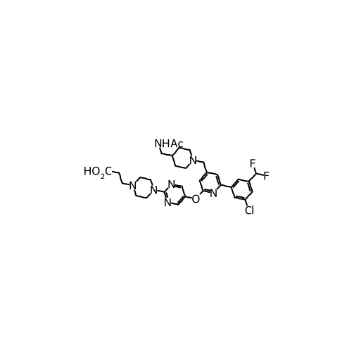 CC(=O)NCC1CCN(Cc2cc(Oc3cnc(N4CCN(CCC(=O)O)CC4)nc3)nc(-c3cc(Cl)cc(C(F)F)c3)c2)CC1